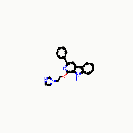 c1ccc(-c2cc3c([nH]c4ccccc43)c(OCCn3ccnc3)n2)cc1